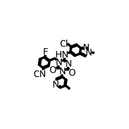 Cc1cncc(-n2c(=O)nc(Nc3cc4cn(C)nc4cc3Cl)n(Cc3cc(C#N)ccc3F)c2=O)c1